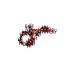 C=C1C[C@@H]2CC[C@@]34C[C@H]5O[C@H]6[C@@H](O3)[C@H]3O[C@H](CC[C@@H]3O[C@H]6[C@H]5O4)CC(=O)O[C@@H]3[C@@H](C)[C@@H]4O[C@H](CC(=O)C[C@@H]5O[C@]6(C[C@H](C)[C@@H]7O[C@@H]8CO[Si](C(C)(C)C)(C(C)(C)C)O[C@@H]8C[C@@H]7O6)C[C@H](C)[C@@H]5O[Si](CC)(CC)CC)[C@H](O[Si](CC)(CC)CC)C[C@@H]4O[C@H]3C[C@H]3O[C@@H](CC[C@@H]1O2)C[C@@H](C)C3=C